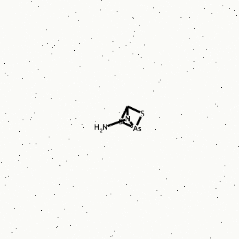 NN1C2S[As]1S2